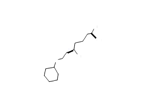 C=C(C)CCC/C(C)=C/COC1CCCCC1